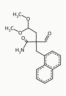 COC(CC([C]=O)(Cc1cccc2ccccc12)C(N)=O)OC